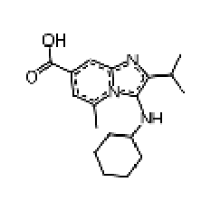 Cc1cc(C(=O)O)cc2nc(C(C)C)c(NC3CCCCC3)n12